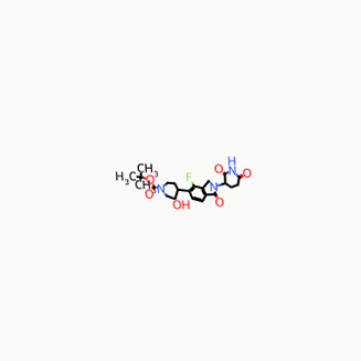 CC(C)(C)OC(=O)N1CCC(c2ccc3c(c2F)CN(C2CCC(=O)NC2=O)C3=O)C(O)C1